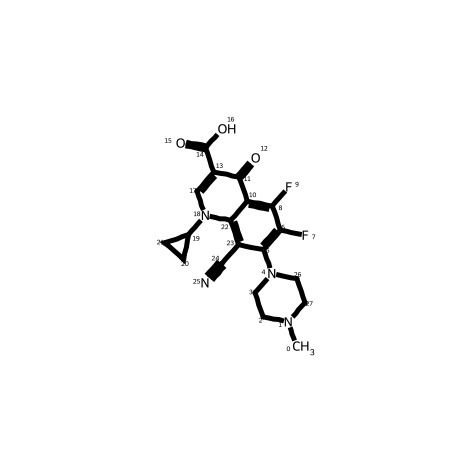 CN1CCN(c2c(F)c(F)c3c(=O)c(C(=O)O)cn(C4CC4)c3c2C#N)CC1